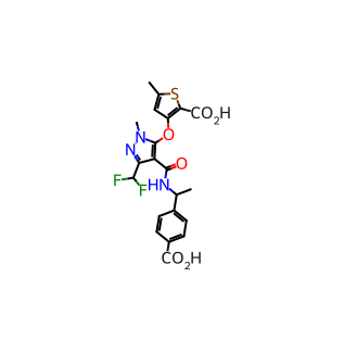 Cc1cc(Oc2c(C(=O)NC(C)c3ccc(C(=O)O)cc3)c(C(F)F)nn2C)c(C(=O)O)s1